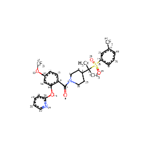 CC(C)(C1CCN(C(=O)c2ccc(OC(F)(F)F)cc2Oc2ccccn2)CC1)S(=O)(=O)c1cccc(C(F)(F)F)c1